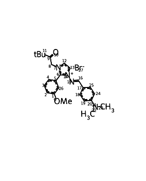 COc1cccc(-c2n(CC(=O)C(C)(C)C)cc[n+]2N=Cc2ccc(N(C)C)cc2)c1.[Br-]